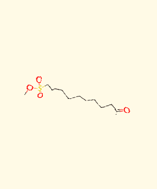 COS(=O)(=O)CCCCCCCCC[C]=O